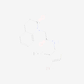 O=C(CN1C(=O)CCc2ccccc21)Nc1scc(Br)c1C(=O)O